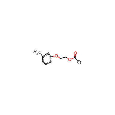 [CH2]CC(=O)OCCOc1cccc(C)c1